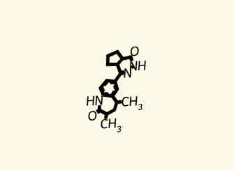 CC1CC(C)c2cc(C3=NNC(=O)C4CCCC34)ccc2NC1=O